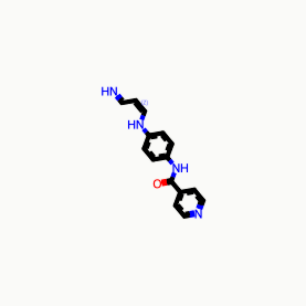 N=C/C=C\Nc1ccc(NC(=O)c2ccncc2)cc1